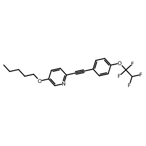 CCCCCOc1ccc(C#Cc2ccc(OC(F)(F)C(F)F)cc2)nc1